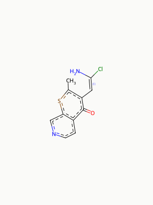 Cc1sc2cnccc2c(=O)c1/C=C(\N)Cl